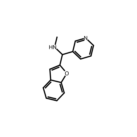 CNC(c1cccnc1)c1cc2ccccc2o1